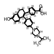 CC(C)N1CCN(c2ccc(C3=C(c4ccc(C(=O)O)cc4)CCc4cc(O)ccc43)cc2)CC1